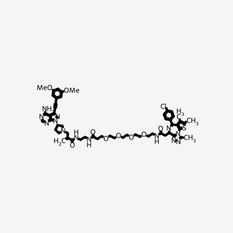 C=C(CN1CC[C@H](n2nc(C#Cc3cc(OC)cc(OC)c3)c3c(N)ncnc32)C1)C(=O)NCCNC(=O)CCOCCOCCOCCOCCNC(=O)CC1N=C(c2ccc(Cl)cc2)c2c(sc(C)c2C)-n2c(C)nnc21